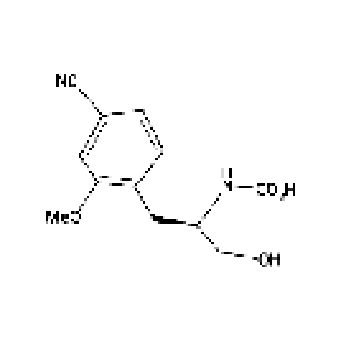 COc1cc(C#N)ccc1C[C@H](CO)NC(=O)O